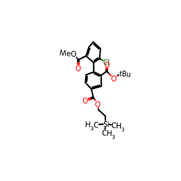 COC(=O)c1cccc(Cl)c1-c1ccc(C(=O)OCC[Si](C)(C)C)cc1C(=O)OC(C)(C)C